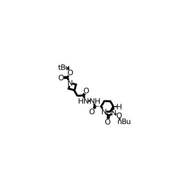 CCCCON1C(=O)N2C[C@@H]1CC[C@H]2C(=O)NNC(=O)CC1CN(C(=O)OC(C)(C)C)C1